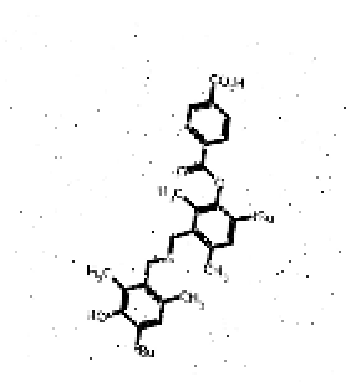 Cc1cc(C(C)(C)C)c(O)c(C)c1CSCc1c(C)cc(C(C)(C)C)c(OC(=O)c2ccc(C(=O)O)cc2)c1C